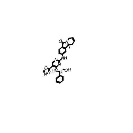 C[C@]12CC=CCN1C(=O)c1ccc(Nc3ncc(-c4nnco4)c(N[C@H](CO)c4ccccc4)n3)cc12